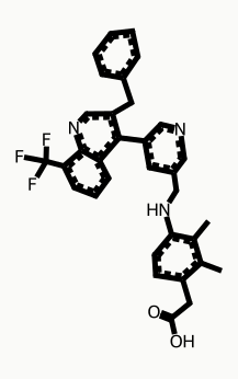 Cc1c(CC(=O)O)ccc(NCc2cncc(-c3c(Cc4ccccc4)cnc4c(C(F)(F)F)cccc34)c2)c1C